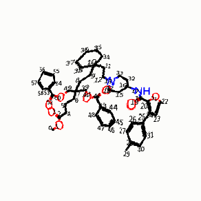 COC(=O)CCCC(CCC1(CCN2CCC(NC(=O)c3occc3-c3ccc(C)cc3)CC2)CCCCC1)(COC(=O)c1ccccc1)COC(=O)c1ccccc1